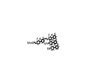 C=CCN1CCC(c2cccc(F)c2C(F)(F)F)CC1.CCCN1CCC(c2cccc(F)c2C(F)(F)F)CC1.CCN1CCC(c2cccc(F)c2C(F)(F)F)CC1.COCCN1CCC(c2cccc(F)c2C(F)(F)F)CC1